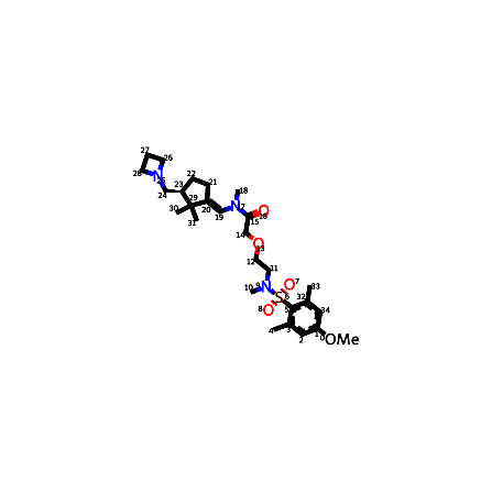 COc1cc(C)c(S(=O)(=O)N(C)CCOCC(=O)N(C)/C=C2\CC[C@H](CN3CCC3)C2(C)C)c(C)c1